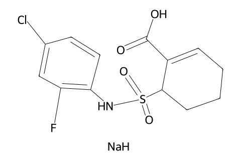 O=C(O)C1=CCCCC1S(=O)(=O)Nc1ccc(Cl)cc1F.[NaH]